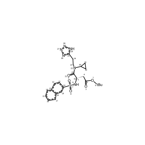 CC(C)(C)OC(=O)C[C@H](NS(=O)(=O)c1ccc2ccccc2c1)C(=O)N(CCc1nnn[nH]1)C1CC1